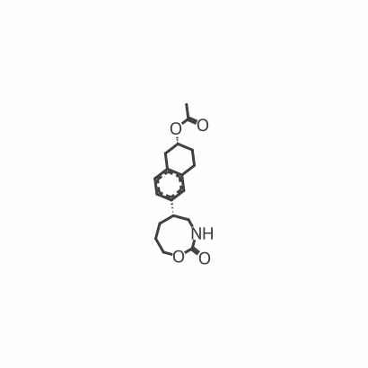 CC(=O)O[C@@H]1CCc2cc([C@H]3CCCOC(=O)NC3)ccc2C1